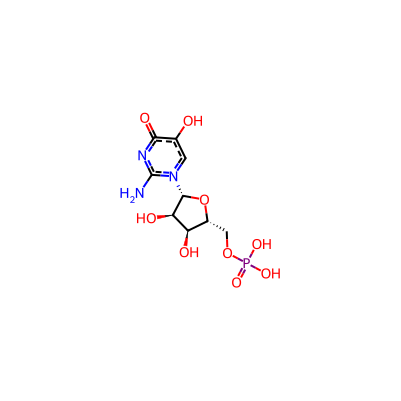 Nc1nc(=O)c(O)cn1[C@@H]1O[C@H](COP(=O)(O)O)[C@@H](O)[C@H]1O